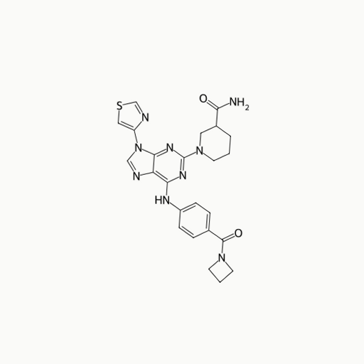 NC(=O)C1CCCN(c2nc(Nc3ccc(C(=O)N4CCC4)cc3)c3ncn(-c4cscn4)c3n2)C1